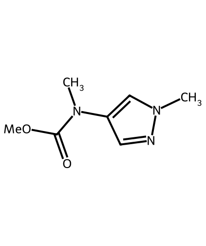 COC(=O)N(C)c1cnn(C)c1